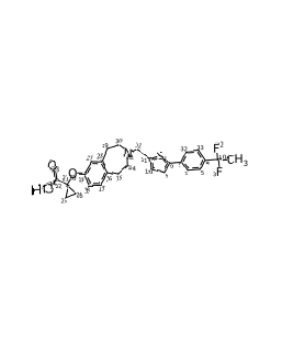 CC(F)(F)c1ccc(-c2ccc(CN3CCc4ccc(OC5(C(=O)O)CC5)cc4CC3)s2)cc1